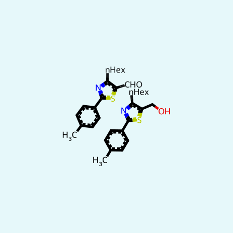 CCCCCCc1nc(-c2ccc(C)cc2)sc1C=O.CCCCCCc1nc(-c2ccc(C)cc2)sc1CO